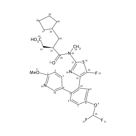 COc1ccc(-c2ccc(OC(F)F)cc2-c2nc(N(C)C(=O)[C@@H](CC(=O)O)CC3CCCC3)sc2F)cn1